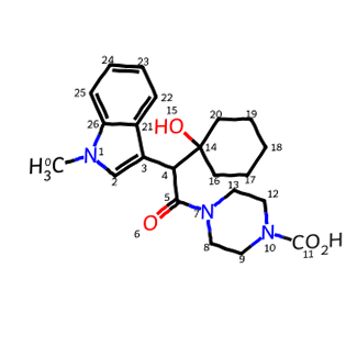 Cn1cc(C(C(=O)N2CCN(C(=O)O)CC2)C2(O)CCCCC2)c2ccccc21